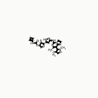 Cc1cnn(C)c1-c1c(C)nc(Nc2cc([C@H]3OC[C@@H](OC(=O)NC45CC(C4)C5)[C@H]3F)[nH]n2)n2ccnc12